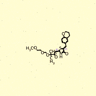 COCCOCOC(C)(C)C(=O)/C=c1\[nH]c(=O)/c(=C/c2ccc3c(c2)CCCO3)s1